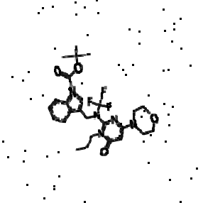 CCCn1c(N(Cc2cn(C(=O)OC(C)(C)C)c3ccccc23)C(F)(F)F)nc(N2CCOCC2)cc1=O